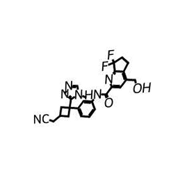 Cn1cnnc1C1(c2cccc(NC(=O)c3cc(CO)c4c(n3)C(F)(F)CC4)c2)CC(CC#N)C1